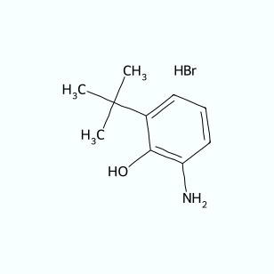 Br.CC(C)(C)c1cccc(N)c1O